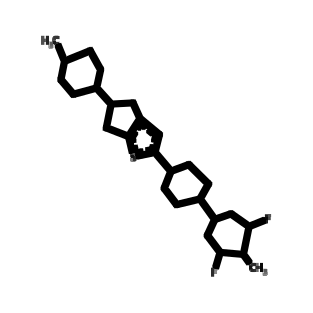 CC1CCC(C2Cc3cc(C4CCC(C5CC(F)C(C)C(F)C5)CC4)sc3C2)CC1